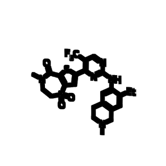 CCc1cc2c(cc1Nc1ncc(C(F)(F)F)c(-c3cc4c(s3)C(=O)N(C)CCS4(=O)=O)n1)CCN(C)C2